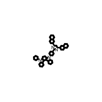 c1ccc(-n2c3ccccc3c3c4c5ccccc5n(-c5ccc(-c6nc(-c7ccc8ccccc8c7)cc(-c7ccc8ccccc8c7)n6)cc5)c4ccc32)cc1